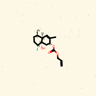 C=CCOC(=O)O[C@@H]1[C][C@@]2(O)[C@H](C)CC[C@@H](C(C)C)[C@H]2C=C1C